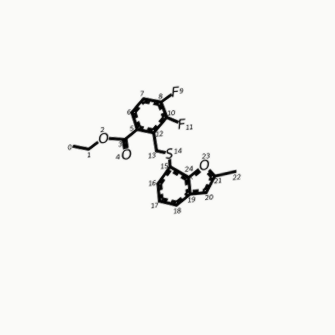 CCOC(=O)c1ccc(F)c(F)c1CSc1cccc2cc(C)oc12